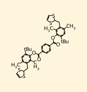 Cc1cc(C(C)(C)C)c(OC(=O)c2ccc(C(=O)Oc3c(C(C)(C)C)cc(C)c(CC4SC=CS4)c3C)cc2)c(C)c1CC1SC=CS1